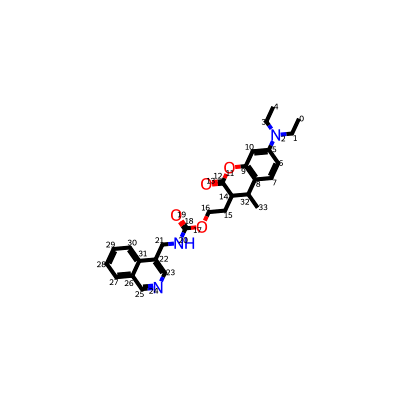 CCN(CC)c1ccc2c(c1)OC(=O)C(CCOC(=O)NCc1cncc3ccccc13)C2C